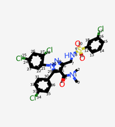 CN(C)C(=O)c1c(CNS(=O)(=O)c2cccc(Cl)c2)nn(-c2ccc(Cl)cc2Cl)c1-c1ccc(Cl)cc1